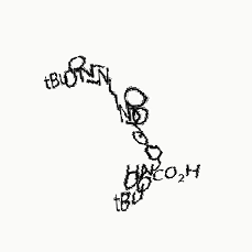 CC(C)(C)OC(=O)NC(Cc1ccc(OCC2CN(CCCCN3CCN(C(=O)OC(C)(C)C)CC3)C(=O)O2)cc1)C(=O)O